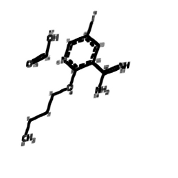 CCCCOc1ncc(I)cc1C(=N)N.O=CO